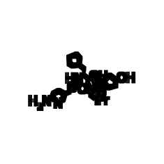 CC(C)CN(C[C@@H](O)[C@H](Cc1ccccc1)NC(=O)OCc1ccc(N)nc1)S(=O)(=O)c1ccc(O)cc1